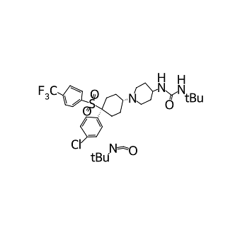 CC(C)(C)N=C=O.CC(C)(C)NC(=O)NC1CCN([C@H]2CC[C@](c3ccc(Cl)cc3)(S(=O)(=O)c3ccc(C(F)(F)F)cc3)CC2)CC1